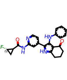 O=C1CCCc2[nH]c(-c3ccnc(NC(=O)C4C[C@@H]4F)c3)c(Nc3ccccc3)c21